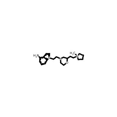 C[N+]1(CCC2CN(CCn3ccc4c(N)cccc43)CCO2)CCCC1